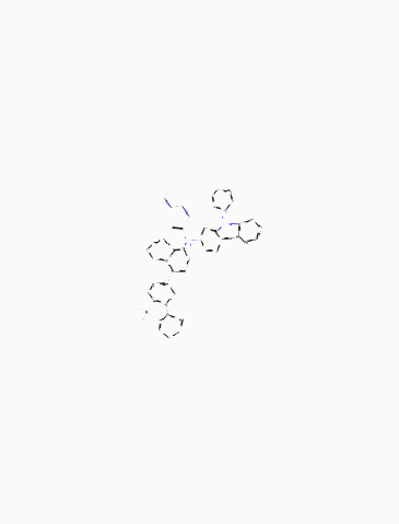 C=C(/C=C\C=C/C)N(c1ccc2c3ccccc3n(-c3ccccc3)c2c1)c1ccc(-c2ccc3c(c2)-c2ccccc2C3(C)C)c2ccccc12